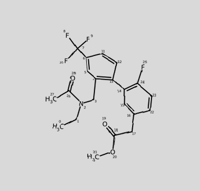 CCN(Cc1cc(C(F)(F)F)ccc1-c1cc(CC(=O)OC)ccc1F)C(C)=O